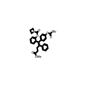 COC(=O)CC/C(=C(/c1ccc(OC(=O)C(C)(C)C)cc1)c1ccccc1OC(=O)N1CCC1)c1ccccc1